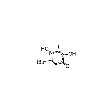 Cc1c(O)c(=O)cc(C(C)(C)C)n1O